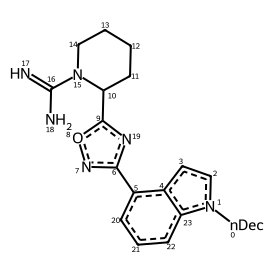 CCCCCCCCCCn1ccc2c(-c3noc(C4CCCCN4C(=N)N)n3)cccc21